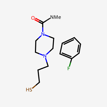 CNC(=O)N1CCN(CCCS)CC1.Fc1ccccc1